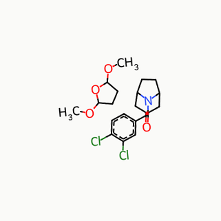 COC1CCC(OC)O1.O=C1CC2CCC(C1)N2Cc1ccc(Cl)c(Cl)c1